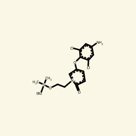 CC(C)(C)[Si](C)(C)OCCn1cc(Oc2c(Cl)cc(N)cc2Cl)ccc1=O